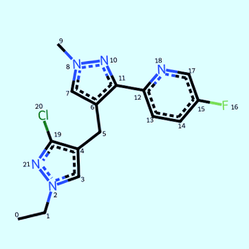 CCn1cc(Cc2cn(C)nc2-c2ccc(F)cn2)c(Cl)n1